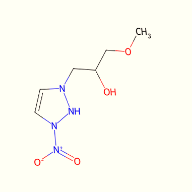 COCC(O)CN1C=CN([N+](=O)[O-])N1